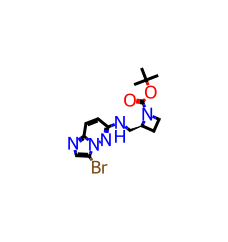 CC(C)(C)OC(=O)N1CC[C@H]1CNc1ccc2ncc(Br)n2n1